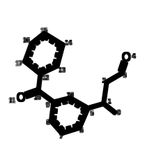 CC(CC=O)c1cccc(C(=O)c2ccccc2)c1